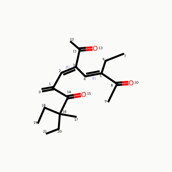 C=C(/C=C(\C=C(/CC)C(C)=O)C(C)=O)C(=O)C(C)(CC)CC